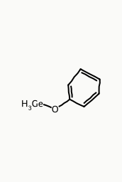 [GeH3][O]c1ccccc1